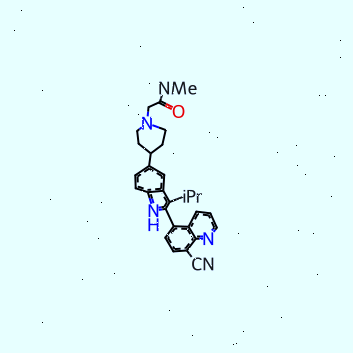 CNC(=O)CN1CCC(c2ccc3[nH]c(-c4ccc(C#N)c5ncccc45)c(C(C)C)c3c2)CC1